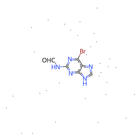 O=CNc1nc(Br)c2nc[nH]c2n1